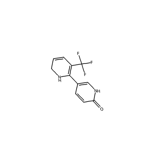 O=c1ccc(C2=C(C(F)(F)F)C=CCN2)c[nH]1